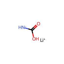 [Li+].[NH-]C(=O)O